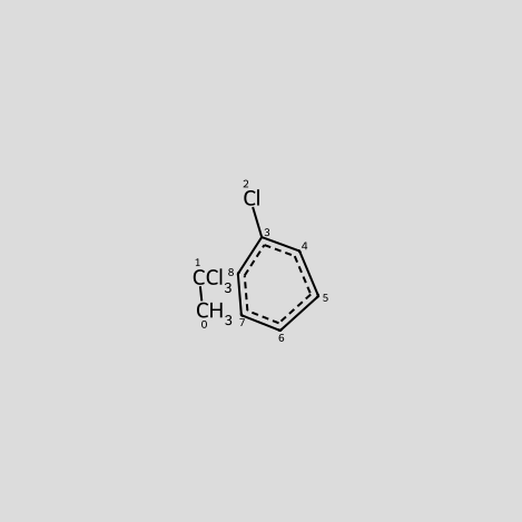 CC(Cl)(Cl)Cl.Clc1ccccc1